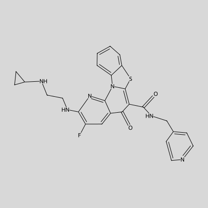 O=C(NCc1ccncc1)c1c(=O)c2cc(F)c(NCCNC3CC3)nc2n2c1sc1ccccc12